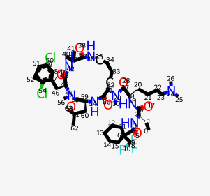 CC[C@H](NC(=O)C1(C(F)(F)F)CCCCC1)C(=O)N[C@@H](CCCCN(C)C)C(=O)N(C)[C@H]1CCCCNC(=O)C(C)(C)NC(=O)[C@H](Cc2cc(Cl)ccc2Cl)N(C)C(=O)[C@H](CC(C)C)NC1=O